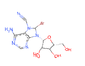 N#CN1c2c(N)ncnc2N([C@@H]2O[C@H](CO)C(O)C2O)C1Br